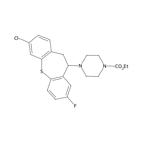 CCOC(=O)N1CCN(C2Cc3ccc(Cl)cc3Sc3ccc(F)cc32)CC1